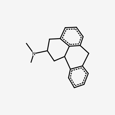 CN(C)C1Cc2cccc3c2C(C1)c1ccccc1C3